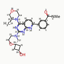 CNC(=O)c1cccc(-c2ccc3c(N4CCOC[C@@H]4C)nc(N4CCO[C@]5(C4)C[C@H](O)C5)nc3n2)c1